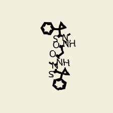 CN(NC(=O)CC(=O)NN(C)C(=S)C1(c2ccccc2)CC1)C(=S)C1(c2ccccc2)CC1